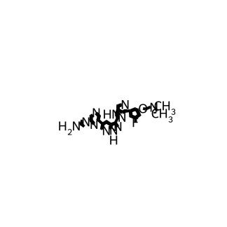 CN(C)CCOc1cc(F)cc(-c2nccc3[nH]c(-c4n[nH]c5ncc(-c6cncc(N7CC(N)C7)n6)cc45)nc23)c1